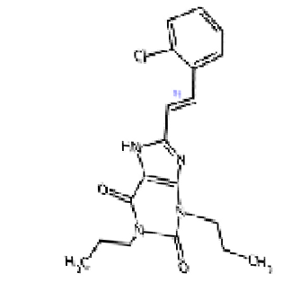 CCCn1c(=O)c2[nH]c(/C=C/c3ccccc3Cl)nc2n(CCC)c1=O